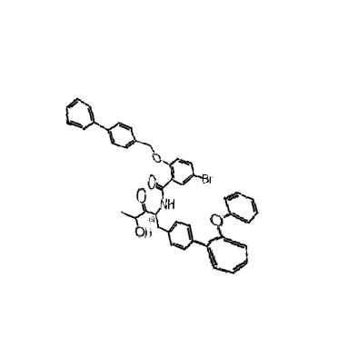 CC(O)C(=O)[C@H](Cc1ccc(-c2ccccc2Oc2ccccc2)cc1)NC(=O)c1cc(Br)ccc1OCc1ccc(-c2ccccc2)cc1